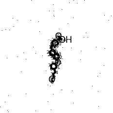 COCCCC1CCCC(Oc2ccc3cc(CN4CCC(C(=O)O)CC4)ccc3c2)C1